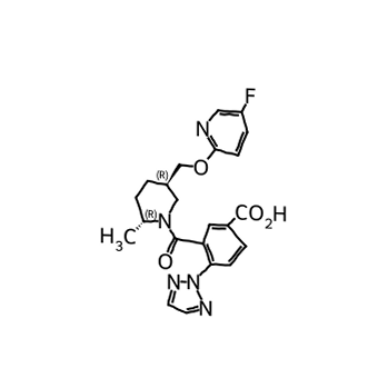 C[C@@H]1CC[C@@H](COc2ccc(F)cn2)CN1C(=O)c1cc(C(=O)O)ccc1-n1nccn1